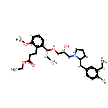 CCOC(=O)CCc1c(OC)cccc1[C@@H](CC)OC[C@H](O)CN1CCC[C@H]1Cc1ccc(Cl)c(CC)c1